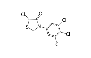 O=C1C(Cl)SCN1c1cc(Cl)c(Cl)c(Cl)c1